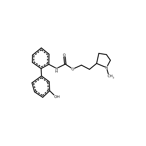 CN1CCCC1CCOC(=O)Nc1ccccc1-c1cccc(O)c1